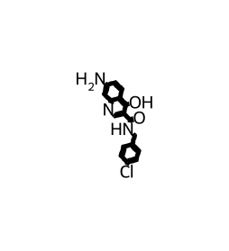 Nc1ccc2c(O)c(C(=O)NCc3ccc(Cl)cc3)cnc2c1